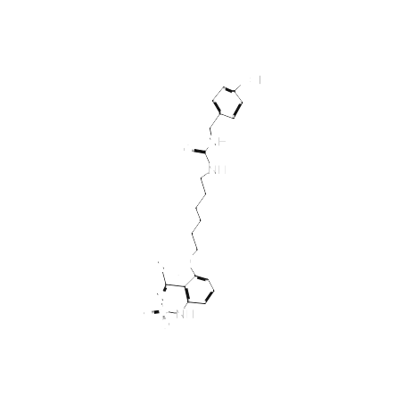 NC1=NS(=O)(=O)Nc2cccc(OCCCCCCNC(=O)NCc3ccc(O)cc3)c21